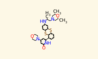 CC(CN1C[C@@H](C)O[C@@H](C)C1)Nc1ccc2c(c1)Sc1cccc(-c3cc(N4CCOCC4)cc(=O)[nH]3)c1S2